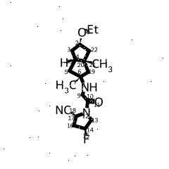 CCO[C@H]1C[C@H]2C[C@](C)(NCC(=O)N3C[C@@H](F)C[C@H]3C#N)C[C@@]2(C)C1